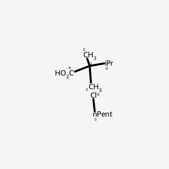 CC(C)C(C)(C)C(=O)O.CCCCCCl